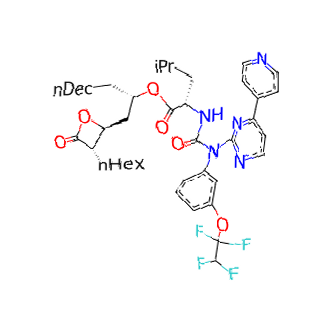 CCCCCCCCCCC[C@@H](C[C@@H]1OC(=O)[C@H]1CCCCCC)OC(=O)[C@H](CC(C)C)NC(=O)N(c1cccc(OC(F)(F)C(F)F)c1)c1nccc(-c2ccncc2)n1